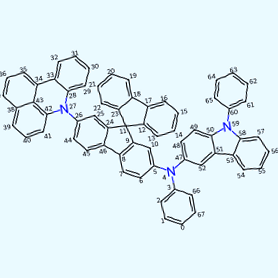 c1ccc(N(c2ccc3c(c2)C2(c4ccccc4-c4ccccc42)c2cc(N4c5ccccc5-c5cccc6cccc4c56)ccc2-3)c2ccc3c(c2)c2ccccc2n3-c2ccccc2)cc1